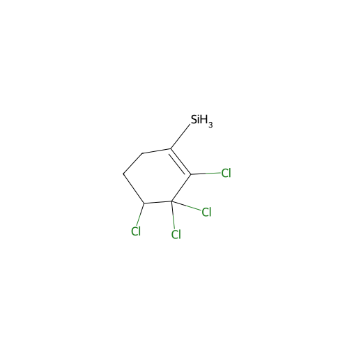 [SiH3]C1=C(Cl)C(Cl)(Cl)C(Cl)CC1